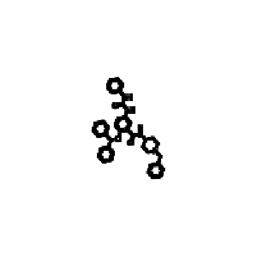 O=C(Nc1ccccc1)Nc1ccc(OC(c2ccccc2)c2ccccc2)c(C(=O)NC2CCN(Cc3ccccc3)CC2)c1